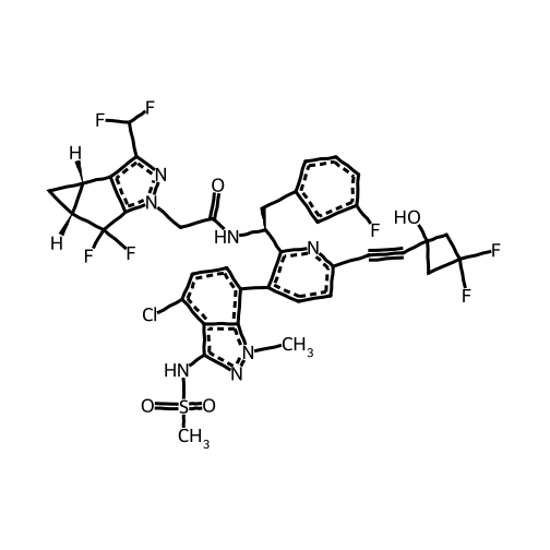 Cn1nc(NS(C)(=O)=O)c2c(Cl)ccc(-c3ccc(C#CC4(O)CC(F)(F)C4)nc3[C@H](Cc3cccc(F)c3)NC(=O)Cn3nc(C(F)F)c4c3C(F)(F)[C@@H]3C[C@H]43)c21